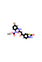 CC(C)(C)OC(=O)Nc1ccc(Br)cc1NC(=O)CC(=O)c1ccc2[nH]c(=O)sc2c1